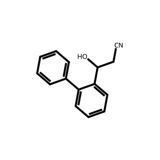 N#CCC(O)c1ccccc1-c1ccccc1